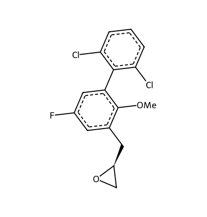 COc1c(C[C@H]2CO2)cc(F)cc1-c1c(Cl)cccc1Cl